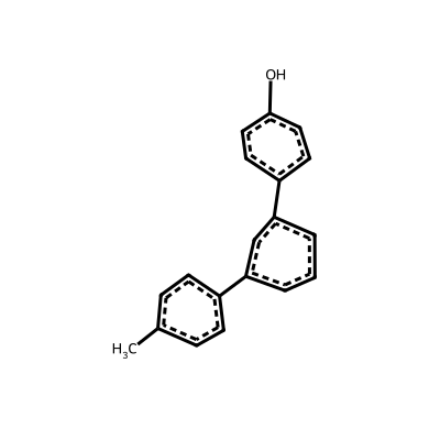 Cc1ccc(-c2cccc(-c3ccc(O)cc3)c2)cc1